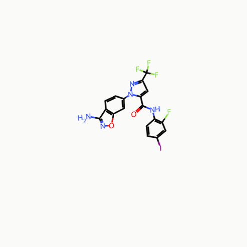 Nc1noc2cc(-n3nc(C(F)(F)F)cc3C(=O)Nc3ccc(I)cc3F)ccc12